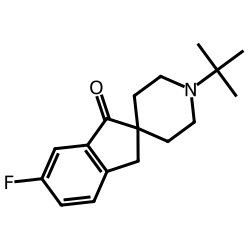 CC(C)(C)N1CCC2(CC1)Cc1ccc(F)cc1C2=O